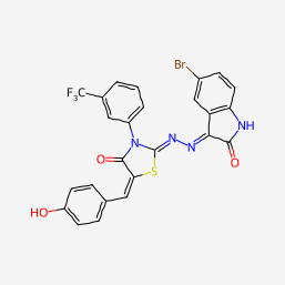 O=C1Nc2ccc(Br)cc2C1=NN=C1SC(=Cc2ccc(O)cc2)C(=O)N1c1cccc(C(F)(F)F)c1